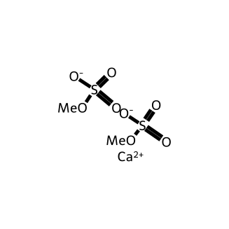 COS(=O)(=O)[O-].COS(=O)(=O)[O-].[Ca+2]